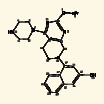 CCCOc1nc2c(c(N3CCNCC3)n1)CCN(c1cc(O)cc3ccccc13)C2